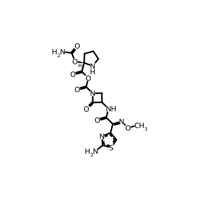 CON=C(C(=O)NC1CN(C(=O)OC(=O)[C@]2(OC(N)=O)CCCN2)C1=O)c1csc(N)n1